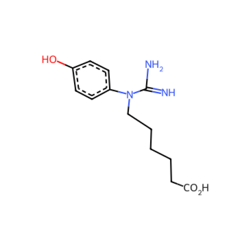 N=C(N)N(CCCCCC(=O)O)c1ccc(O)cc1